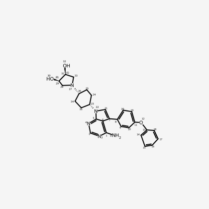 Nc1ncnc2c1c(-c1ccc(Oc3ccccc3)cc1)cn2[C@H]1CC[C@@H](N2C[C@@H](O)[C@@H](O)C2)CC1